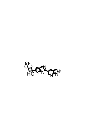 Cn1cc2cc(-c3ncc4cc(C5(O)CC(OC(F)(F)F)C5)sc4n3)cnc2n1